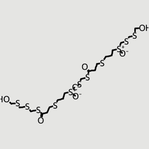 O=C(CCSCCC[S+]([O-])CSCSC(=O)CCSCCC[S+]([O-])CSCSCO)SCSCSCO